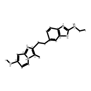 CCNc1nc2ccc(CCc3nc4cc(OC)ccn4c3C)cc2o1